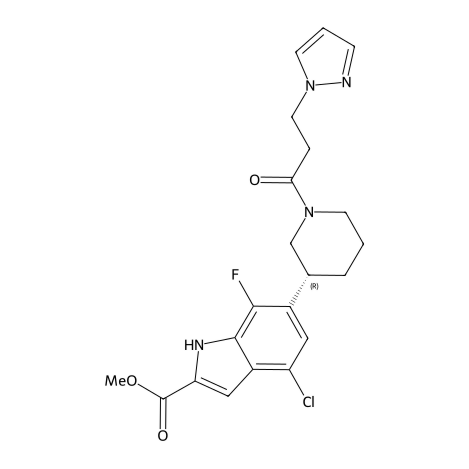 COC(=O)c1cc2c(Cl)cc([C@H]3CCCN(C(=O)CCn4cccn4)C3)c(F)c2[nH]1